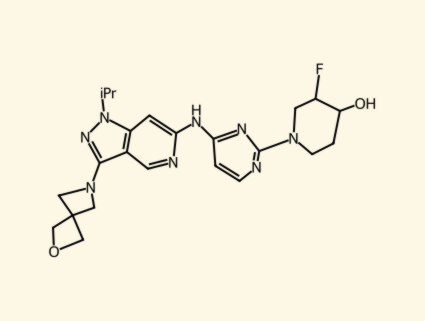 CC(C)n1nc(N2CC3(COC3)C2)c2cnc(Nc3ccnc(N4CCC(O)C(F)C4)n3)cc21